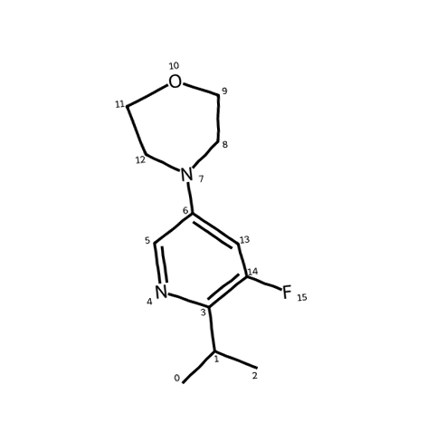 CC(C)c1ncc(N2CCOCC2)cc1F